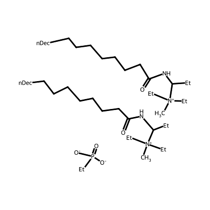 CCCCCCCCCCCCCCCCCC(=O)NC(CC)[N+](C)(CC)CC.CCCCCCCCCCCCCCCCCC(=O)NC(CC)[N+](C)(CC)CC.CCP(=O)([O-])[O-]